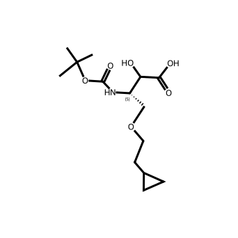 CC(C)(C)OC(=O)N[C@@H](COCCC1CC1)C(O)C(=O)O